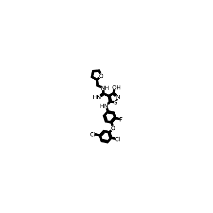 N=C(NCC1CCCO1)c1c(O)nsc1Nc1ccc(Oc2cc(Cl)ccc2Cl)c(F)c1